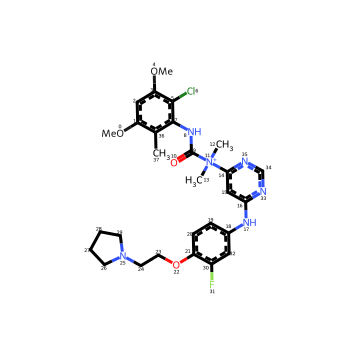 COc1cc(OC)c(Cl)c(NC(=O)[N+](C)(C)c2cc(Nc3ccc(OCCN4CCCC4)c(F)c3)ncn2)c1C